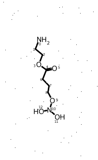 NCCOC(=O)CCCON(O)O